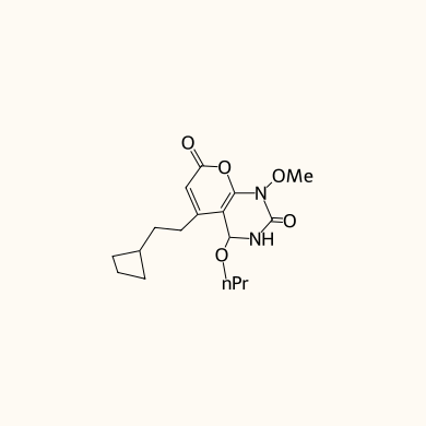 CCCOC1NC(=O)N(OC)c2oc(=O)cc(CCC3CCC3)c21